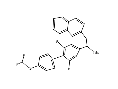 CCCCC(Cc1ccc2ccccc2c1)c1cc(F)c(-c2ccc(OC(F)F)cc2)c(F)c1